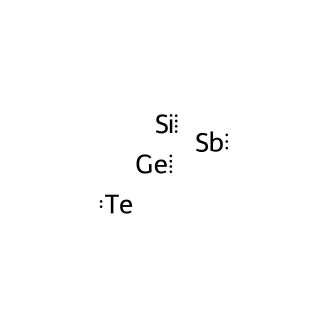 [Ge].[Sb].[Si].[Te]